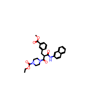 CCOC(=O)N1CCN(C(=O)C(Cc2cccc(C(=O)OC)c2)C(=O)Nc2ccc3ccccc3c2)CC1